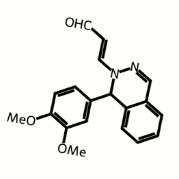 COc1ccc(C2c3ccccc3C=NN2C=CC=O)cc1OC